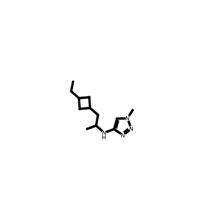 CCC1CC(CC(C)Nc2cn(C)nn2)C1